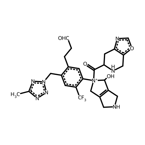 Cc1nnn(Cc2cc(C(F)(F)F)c([N+]3(C(=O)C4Cc5ncoc5CN4)CC4=C(CNC4)C3O)cc2CCC=O)n1